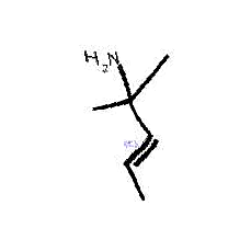 C/C=C/C(C)(C)N